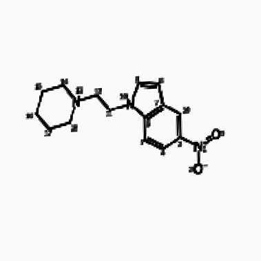 O=[N+]([O-])c1ccc2c(ccn2CCN2CCCCC2)c1